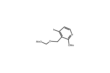 COCOCc1c(I)ccnc1OC